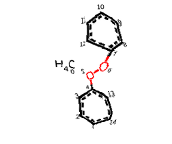 C.c1ccc(OOc2ccccc2)cc1